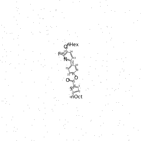 CCCCCCCCc1ccc(C(=O)Oc2ccc(-c3ccc(OCCCCCC)c(F)n3)cc2)s1